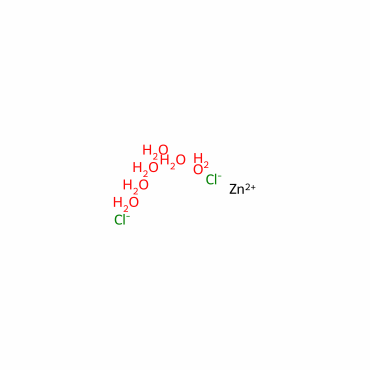 O.O.O.O.O.O.[Cl-].[Cl-].[Zn+2]